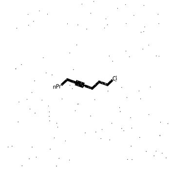 CCCCC#CCCCCl